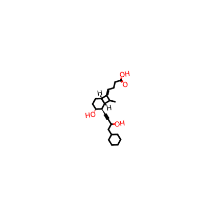 CC1C(=CCCC(=O)O)[C@H]2CC[C@@H](O)[C@H](C#CC(O)CC3CCCCC3)[C@@H]12